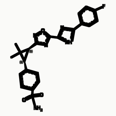 CC1(C)[C@@H](c2ccc(S(N)(=O)=O)cc2)[C@@H]1c1noc(-c2nc(-c3ccc(F)cc3)c[nH]2)n1